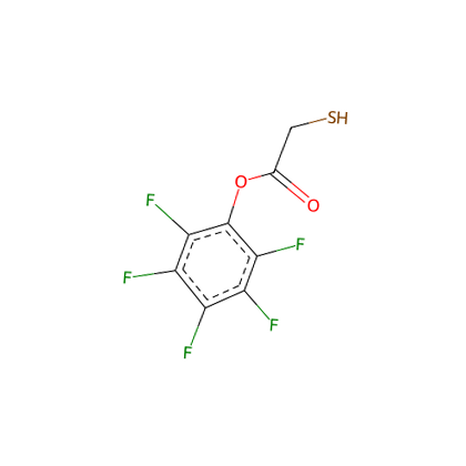 O=C(CS)Oc1c(F)c(F)c(F)c(F)c1F